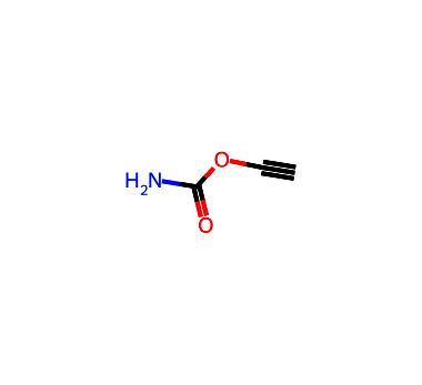 C#COC(N)=O